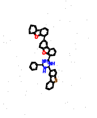 NC(NC(NCc1cccc2c1oc1ccc(-c3cccc4c3oc3ccccc34)cc12)c1ccc2sc3ccccc3c2c1)c1ccccc1